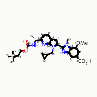 COc1cc(C(=O)O)cc2nc(-c3cc4ccc([C@@H](C)NC(=O)OCC[Si](C)(C)C)nc4n3CC3CC3)n(C)c12